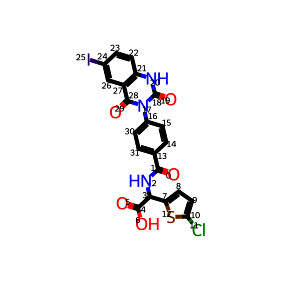 O=C(NC(C(=O)O)c1ccc(Cl)s1)c1ccc(-n2c(=O)[nH]c3ccc(I)cc3c2=O)cc1